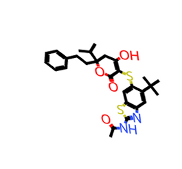 CC(=O)Nc1nc2cc(C(C)(C)C)c(SC3=C(O)CC(CCc4ccccc4)(C(C)C)OC3=O)cc2s1